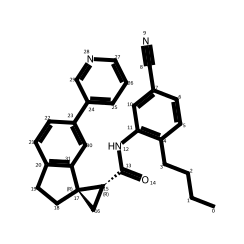 CCCCc1ccc(C#N)cc1NC(=O)[C@@H]1C[C@]12CCc1ccc(-c3cccnc3)cc12